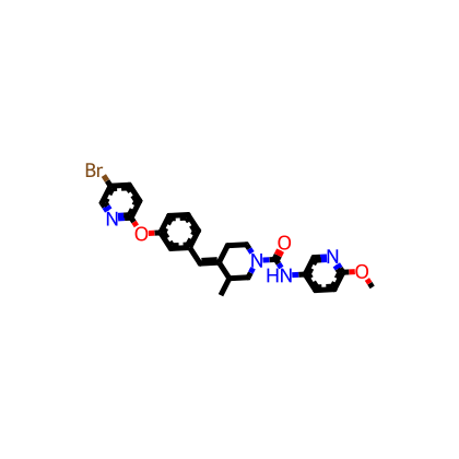 COc1ccc(NC(=O)N2CC/C(=C\c3cccc(Oc4ccc(Br)cn4)c3)C(C)C2)cn1